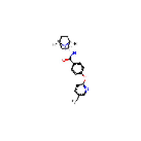 O=C(N[C@@H]1C[C@H]2CC[C@@H]1N2)c1ccc(Oc2ccc(C(F)(F)F)cn2)cc1